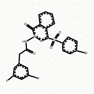 O=C(Cc1cc(F)cc(F)c1)Nn1nc(S(=O)(=O)c2ccc(Br)cc2)c2ccccc2c1=O